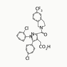 O=C(O)Cc1c(C(=O)N2CCc3cc(C(F)(F)F)ccc3C2)nn(-c2ccccc2Cl)c1-c1ccc(Cl)cc1